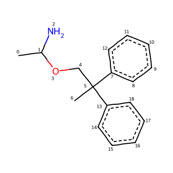 CC(N)OCC(C)(c1ccccc1)c1ccccc1